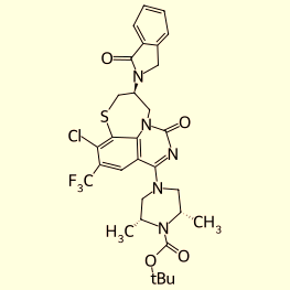 C[C@@H]1CN(c2nc(=O)n3c4c(c(Cl)c(C(F)(F)F)cc24)SC[C@@H](N2Cc4ccccc4C2=O)C3)C[C@H](C)N1C(=O)OC(C)(C)C